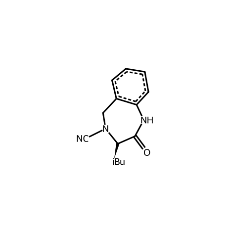 CC[C@H](C)C1C(=O)Nc2ccccc2CN1C#N